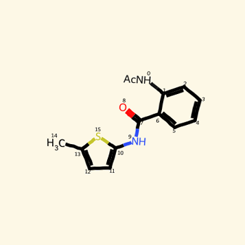 CC(=O)Nc1ccccc1C(=O)Nc1ccc(C)s1